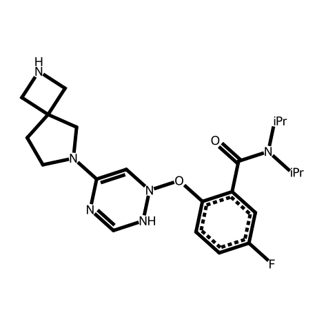 CC(C)N(C(=O)c1cc(F)ccc1ON1C=C(N2CCC3(CNC3)C2)N=CN1)C(C)C